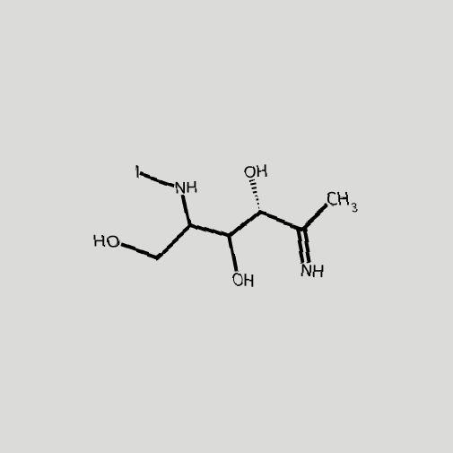 CC(=N)[C@@H](O)C(O)C(CO)NI